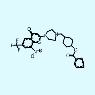 O=C(OC1CCC(CN2CCN(c3cc(=O)c4cc(C(F)(F)F)cc([N+](=O)[O-])c4s3)CC2)CC1)c1ccccc1